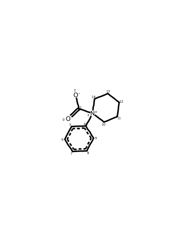 O=C([O-])[N+]1(c2ccccc2)CCCCC1